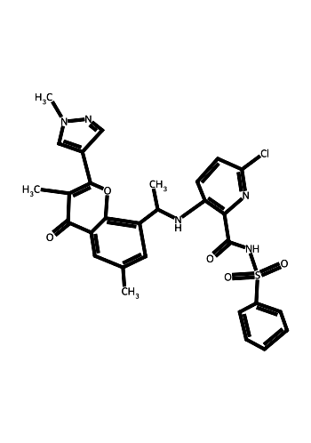 Cc1cc(C(C)Nc2ccc(Cl)nc2C(=O)NS(=O)(=O)c2ccccc2)c2oc(-c3cnn(C)c3)c(C)c(=O)c2c1